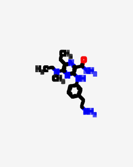 CCc1nc(C(N)=O)c(Nc2cccc(CCN)c2)nc1N(C)CC